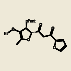 CCCCC[C@@H]1C(OCC)=C(C)O[C@H]1C(=O)CC(=O)c1ccco1